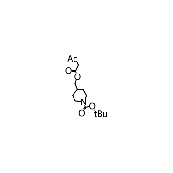 CC(=O)CC(=O)OCC1CCN(C(=O)OC(C)(C)C)CC1